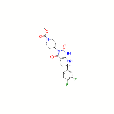 COC(=O)N1CCC(n2c(=O)[nH]c3c(c2=O)CC[C@](C)(c2ccc(F)c(F)c2)N3)CC1